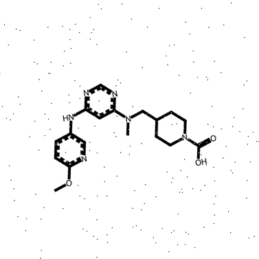 COc1ccc(Nc2cc(N(C)CC3CCN(C(=O)O)CC3)ncn2)cn1